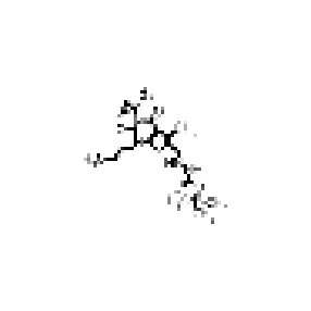 CCCCn1c(=O)n(C2(C)CC2)c(=O)c2c(C)c(CNNC(=O)OC(C)(C)C)sc21